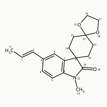 C/C=C/c1ccc2c(c1)C1(CCC3(CC1)OCCO3)C(=O)N2C